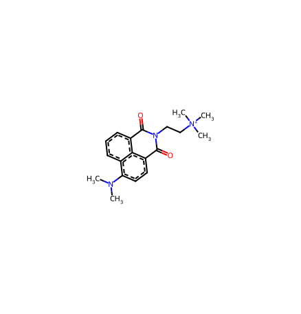 CN(C)c1ccc2c3c(cccc13)C(=O)N(CC[N+](C)(C)C)C2=O